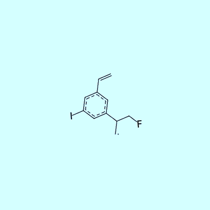 [CH2]C(CF)c1cc(I)cc(C=C)c1